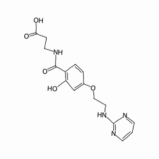 O=C(O)CCNC(=O)c1ccc(OCCNc2ncccn2)cc1O